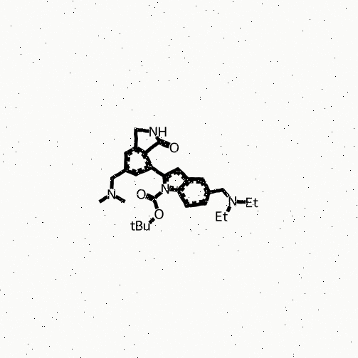 CCN(CC)Cc1ccc2c(c1)cc(-c1cc(CN(C)C)cc3c1C(=O)NC3)n2C(=O)OC(C)(C)C